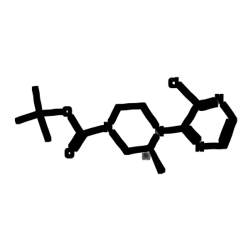 C[C@H]1CN(C(=O)OC(C)(C)C)CCN1c1nccnc1Cl